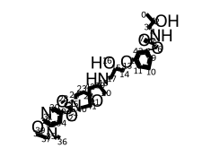 CC(O)CNS(=O)(=O)c1cccc(OCC(O)CNC2COC3(CCN(S(=O)(=O)c4cnc5c(c4)N(C)CCO5)CC3)C2)c1